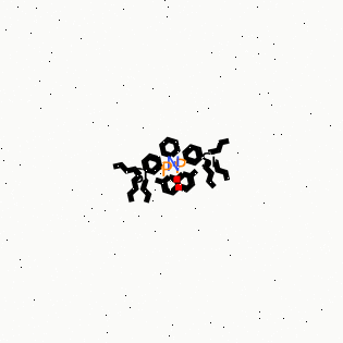 CCCC[Si](CCCC)(CCCC)c1cccc(P(c2ccccc2C)N(C2CCCCC2)P(c2cccc([Si](CCCC)(CCCC)CCCC)c2)c2ccccc2C)c1